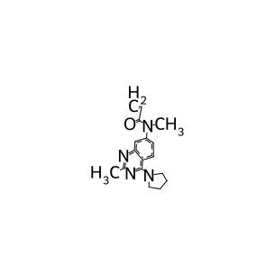 C=CC(=O)N(C)c1ccc2c(N3CCCC3)nc(C)nc2c1